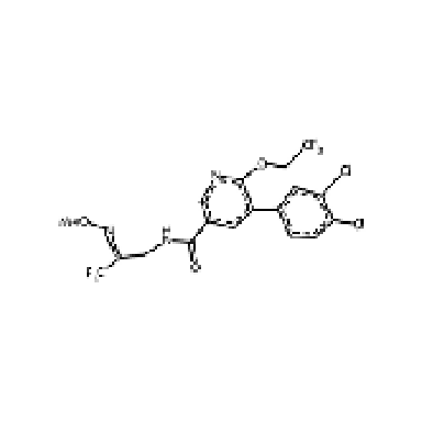 CON=C(CNC(=O)c1cnc(OCC(F)(F)F)c(-c2ccc(Cl)c(Cl)c2)c1)C(F)(F)F